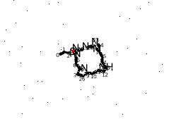 C=CCSn1c2cc3nc(cc4ccc(cc5nc(nc1nn2)N=C5)[nH]4)C=C3